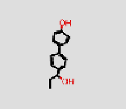 CCC(O)c1ccc(-c2ccc(O)cc2)cc1